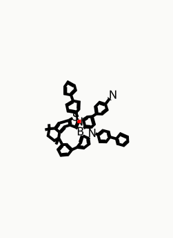 CC1(C)CCC2(C)c3cccc(c3)-c3ccc4c(c3)B3c5c(cc(-c6ccc(C#N)cc6)cc5N(c5ccc(-c6ccccc6)cc5)c5sc6cc1c2cc6c53)N4c1ccc(-c2ccccc2)cc1